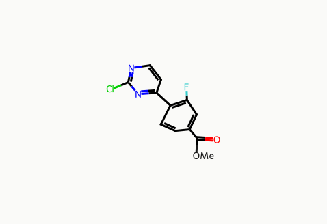 COC(=O)c1ccc(-c2ccnc(Cl)n2)c(F)c1